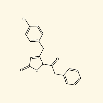 O=C(Cc1ccccc1)n1oc(=O)cc1Cc1ccc(Cl)cc1